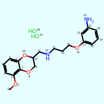 COc1cccc2c1OCC(CNCCCOc1cccc(N)c1)O2.Cl.Cl